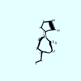 CCC1CCN(C2CCCC2)CC1